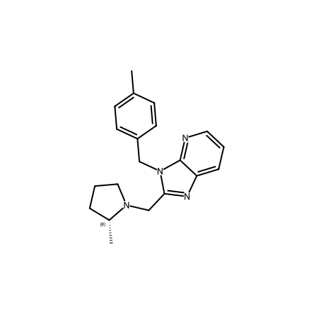 Cc1ccc(Cn2c(CN3CCC[C@H]3C)nc3cccnc32)cc1